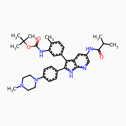 Cc1ccc(-c2c(-c3ccc(N4CCN(C)CC4)cc3)[nH]c3ncc(NC(=O)C(C)C)cc23)cc1NC(=O)OC(C)(C)C